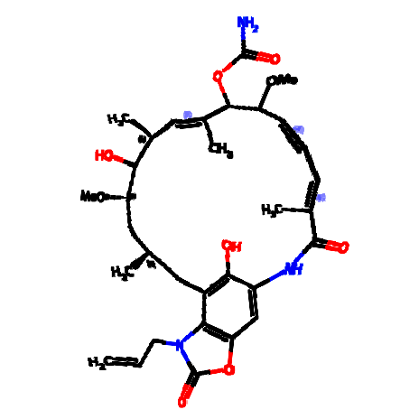 C=CCn1c(=O)oc2cc3c(O)c(c21)C[C@@H](C)C[C@H](OC)C(O)[C@@H](C)/C=C(\C)C(OC(N)=O)C(OC)/C=C\C=C(/C)C(=O)N3